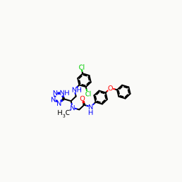 CN(CC(=O)Nc1ccc(Oc2ccccc2)cc1)C(CNc1cc(Cl)ccc1Cl)c1nnn[nH]1